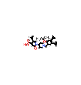 CC(C)Oc1cc(C2CC2)c(C2CC2)cc1CN1CCC(n2cc(C3CC3)c(C(=O)O)cc2=O)CC1